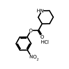 Cl.O=C(Oc1cccc([N+](=O)[O-])c1)C1CCCNC1